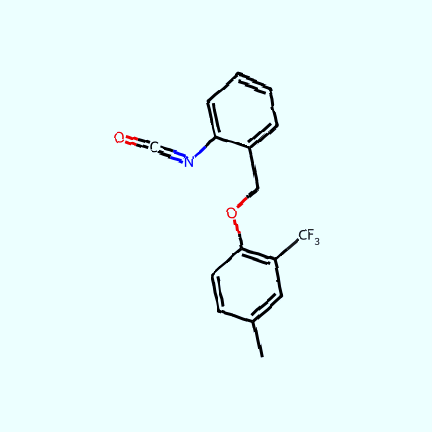 Cc1ccc(OCc2ccccc2N=C=O)c(C(F)(F)F)c1